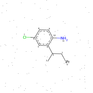 CC(C)CC(C)c1cc(Cl)ccc1N